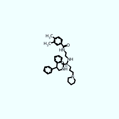 Cc1ccc(C(=O)NCCN[C@@H](CCCN2CCCCC2)C(=O)NCC(c2ccccc2)c2ccccc2)cc1C